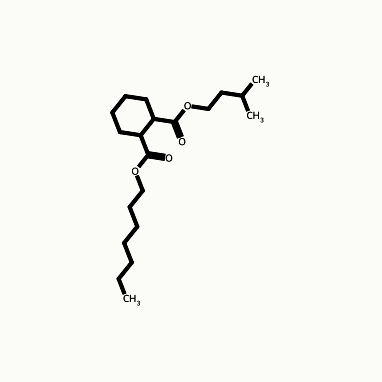 CCCCCCCOC(=O)C1CCCCC1C(=O)OCCC(C)C